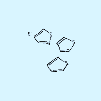 [B].c1ccsc1.c1ccsc1.c1ccsc1